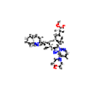 COC(=O)C(C)(C)c1ccc(-c2c(C3CC(c4ccc5ccccc5n4)C3)nc3c(N4CCOCC4)ccnn23)cc1